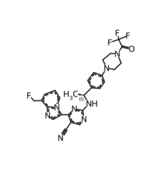 C[C@H](Nc1ncc(C#N)c(-c2cnc3c(CF)cccn23)n1)c1ccc(N2CCN(C(=O)C(F)(F)F)CC2)cc1